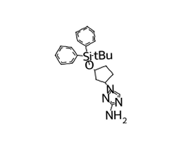 CC(C)(C)[Si](OC1CCC(n2cnc(N)n2)C1)(c1ccccc1)c1ccccc1